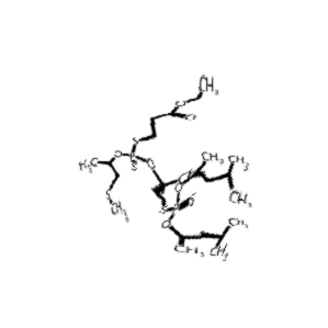 CCOC(=O)CCSP(=S)(OC(C)CSC)OC(C)CSP(=S)(OC(C)CC(C)C)OC(C)CC(C)C